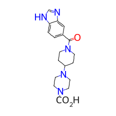 O=C(O)N1CCN(C2CCN(C(=O)c3ccc4[nH]cnc4c3)CC2)CC1